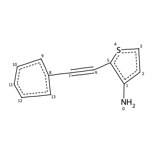 Nc1ccsc1C#Cc1ccccc1